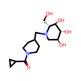 O=C(C1CC1)N1CCC(CN2C[C@H](O)[C@@H](O)[C@H](O)[C@H]2CO)CC1